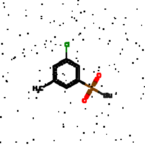 Cc1cc(Cl)cc(S(=O)(=O)C(C)(C)C)c1